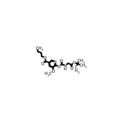 CCCCOC(=O)c1cnc(OC(=O)NCC(=O)OC(C)(C)C)c(OC)c1